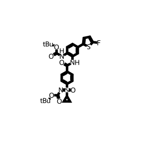 CC(C)(C)OC(=O)N=S(=O)(c1ccc(C(=O)Nc2cc(-c3ccc(F)s3)ccc2NC(=O)OC(C)(C)C)cc1)C1CC1